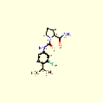 CC(C)c1ccc(NC(=O)N2CCCC2C(N)=O)cc1F